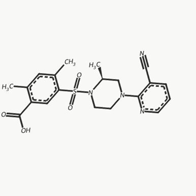 Cc1cc(C)c(S(=O)(=O)N2CCN(c3ncccc3C#N)C[C@@H]2C)cc1C(=O)O